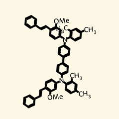 COc1cc(N(c2ccc(-c3ccc(N(c4ccc(/C=C/c5ccccc5)c(OC)c4)c4ccc(C)cc4C)cc3)cc2)c2ccc(C)cc2C)ccc1/C=C/c1ccccc1